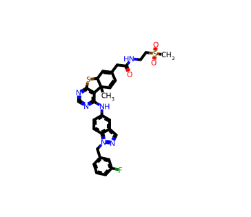 CC12C=CC(CC(=O)NCCS(C)(=O)=O)=CC1Sc1ncnc(Nc3ccc4c(cnn4Cc4cccc(F)c4)c3)c12